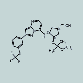 COC(C)(C)O[C@@H]1C[C@@H](CO)C[C@H]1Nc1ccnc2cc(-c3cccc(SC(F)(F)F)c3)nn12